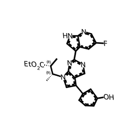 CCOC(=O)[C@H](C)[C@@H](C)n1cc(-c2cccc(O)c2)c2cnc(-c3c[nH]c4ncc(F)cc34)nc21